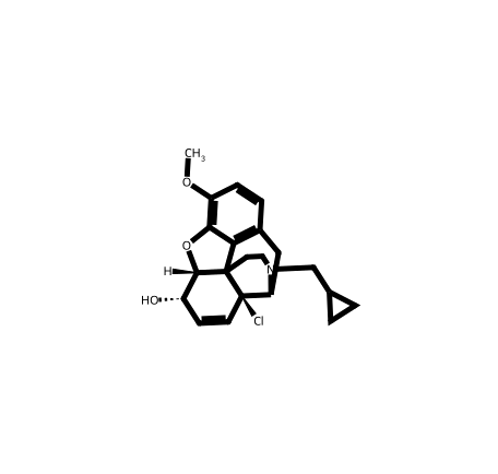 COc1ccc2c3c1O[C@H]1[C@@H](O)C=C[C@@]4(Cl)C(C2)N(CC2CC2)CCC314